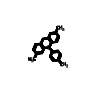 Cc1ccc(N2c3ccc(C)cc3Cc3ccc(C)cc32)cc1